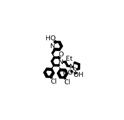 CC[C@@H](CN1CCCS1(O)O)N1C(=O)[C@H](Cc2cccc(O)n2)C[C@H](c2cccc(Cl)c2)[C@H]1c1ccc(Cl)cc1